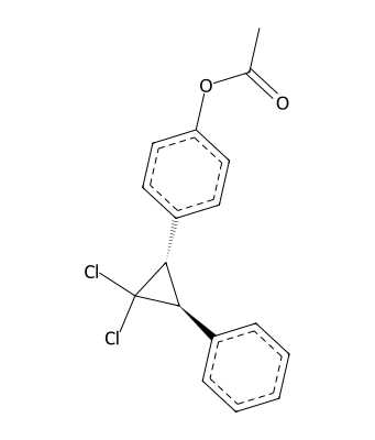 CC(=O)Oc1ccc([C@@H]2[C@@H](c3ccccc3)C2(Cl)Cl)cc1